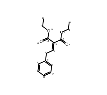 CCOC(=O)C(=CCc1ccccc1)C(=O)OCC